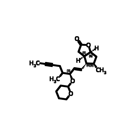 CC#CCC(C)[C@@H](C=C[C@@H]1[C@H]2CC(=O)O[C@H]2C[C@H]1C)OC1CCCCO1